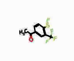 CC(=O)c1ccc(SF)c(C(F)(F)F)c1